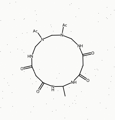 CC(=O)N1CNC(=O)CC(=O)NC(C)NC(=O)CC(=O)NCN(C(C)=O)C1